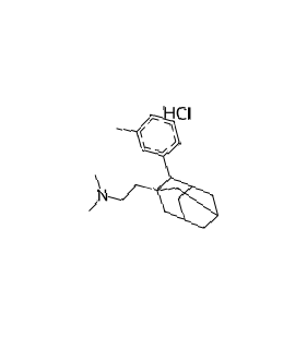 Cc1cccc(C2C3CC4CC(C3)CC2(CCN(C)C)C4)c1.Cl